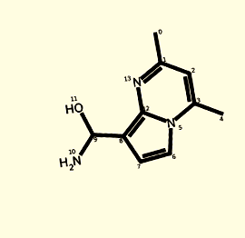 Cc1cc(C)n2ccc(C(N)O)c2n1